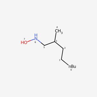 CCCCCCC(C)CNO